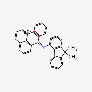 CCC/C=C\C(=N/C1=C=C=CC2=C1c1ccccc1C2(C)C)c1cccc2cccc(-c3ccccc3)c12